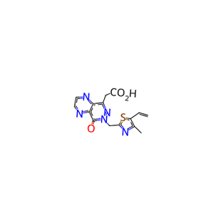 C=Cc1sc(Cn2nc(CC(=O)O)c3nccnc3c2=O)nc1C